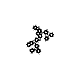 c1ccc(N(c2ccccc2)c2cccc(-n3c4cc5sc6ccccc6c5c5ccc6c7c(cc3c6c54)sc3cc(N(c4ccc5ccccc5c4)c4ccc5c6ccccc6n(-c6ccccc6)c5c4)ccc37)c2)cc1